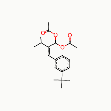 CC(=O)OC(OC(C)=O)C(=Cc1cccc(C(C)(C)C)c1)C(C)C